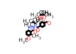 CC[C@@H](N(NC(=O)c1cccc(OC)c1C)C(=O)c1ccc(C=O)c(B2OC(C)(C)C(C)(C)O2)c1)C(C)(C)C